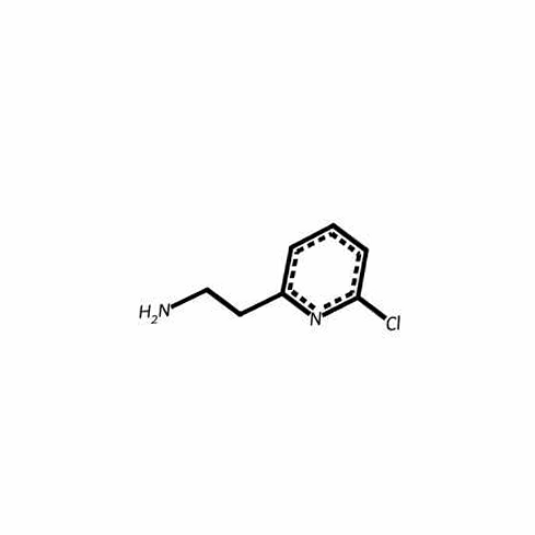 NCCc1cccc(Cl)n1